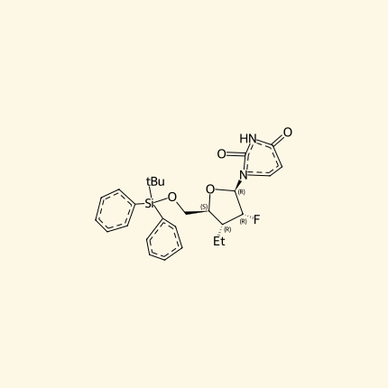 CC[C@H]1[C@@H](F)[C@H](n2ccc(=O)[nH]c2=O)O[C@@H]1CO[Si](c1ccccc1)(c1ccccc1)C(C)(C)C